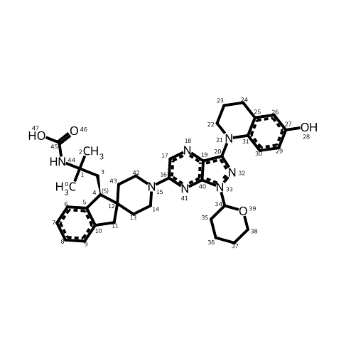 CC(C)(C[C@@H]1c2ccccc2CC12CCN(c1cnc3c(N4CCCc5cc(O)ccc54)nn(C4CCCCO4)c3n1)CC2)NC(=O)O